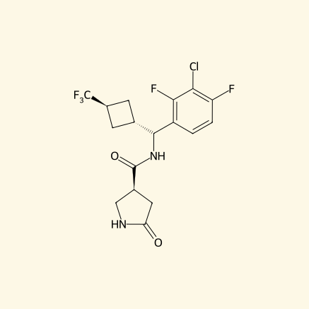 O=C1C[C@H](C(=O)NC(c2ccc(F)c(Cl)c2F)[C@H]2C[C@H](C(F)(F)F)C2)CN1